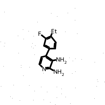 CCc1ccc(-c2ccnc(N)c2N)cc1F